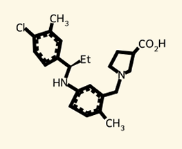 CC[C@@H](Nc1ccc(C)c(CN2CCC(C(=O)O)C2)c1)c1ccc(Cl)c(C)c1